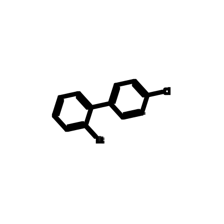 CCc1ccccc1-c1c[c]c(Cl)cc1